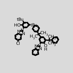 CC(C)(C)c1cc(-n2nc3ccc(Cl)cc3n2)c(O)c(C(C)(C)C)c1.CC(C)(c1ccccc1)c1cc(-n2nc3ccccc3n2)c(O)c(C(C)(C)c2ccccc2)c1